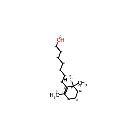 CC1=C(CCCCCCCO)C(C)(C)CCC1